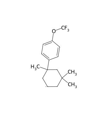 CC1(C)C[CH]CC(C)(c2ccc(OC(F)(F)F)cc2)C1